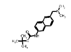 CN(C)Cc1ccc2cc(NC(=O)OC(C)(C)C)ccc2c1